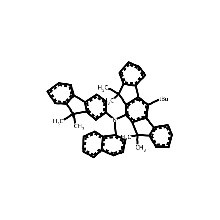 CC(C)(C)c1c2c(c(N(c3ccc4c(c3)C(C)(C)c3ccccc3-4)c3cccc4ccccc34)c3c1-c1ccccc1C3(C)C)C(C)(C)c1ccccc1-2